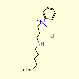 CCCCCCCCCCCCCCNCCC[N+](C)(C)c1ccccc1.[Cl-]